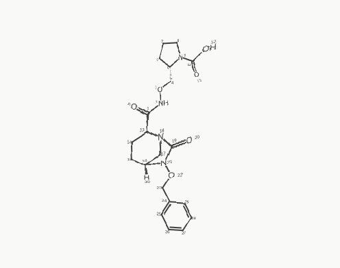 O=C(NOC[C@@H]1CCCN1C(=O)O)[C@@H]1CC[C@@H]2CN1C(=O)N2OCc1ccccc1